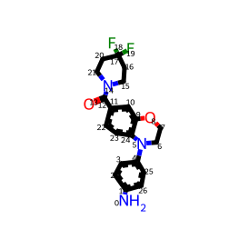 Nc1ccc(N2CCOc3cc(C(=O)N4CCC(F)(F)CC4)ccc32)cc1